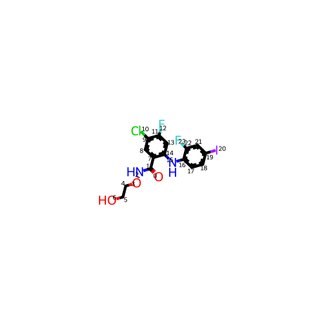 O=C(NOCCO)c1cc(Cl)c(F)cc1Nc1ccc(I)cc1F